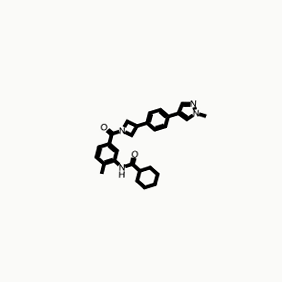 Cc1ccc(C(=O)N2CC(c3ccc(-c4cnn(C)c4)cc3)C2)cc1NC(=O)C1CCCCC1